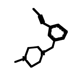 CC#Cc1cccc(CN2CCN(C)CC2)c1